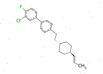 C/C=C/[C@H]1CC[C@H](CCc2ccc(-c3ccc(F)c(Cl)c3)cc2)CC1